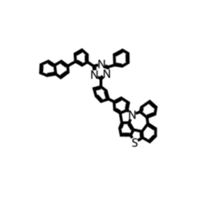 c1ccc(-c2nc(-c3cccc(-c4ccc5ccccc5c4)c3)nc(-c3cccc(-c4ccc5c(c4)c4ccc6sc7cccc8c9ccccc9n5c4c6c78)c3)n2)cc1